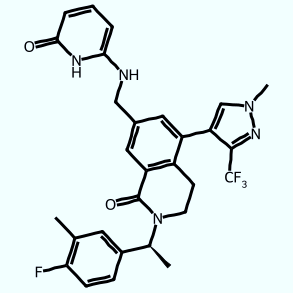 Cc1cc([C@H](C)N2CCc3c(cc(CNc4cccc(=O)[nH]4)cc3-c3cn(C)nc3C(F)(F)F)C2=O)ccc1F